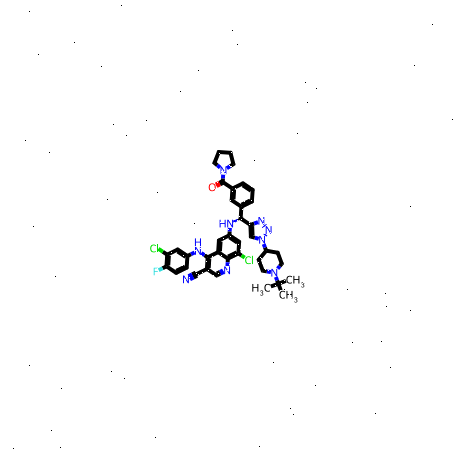 CC(C)(C)N1CCC(n2cc([C@@H](Nc3cc(Cl)c4ncc(C#N)c(Nc5ccc(F)c(Cl)c5)c4c3)c3cccc(C(=O)N4CCCC4)c3)nn2)CC1